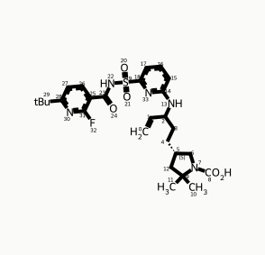 C=CC(CC[C@@H]1CN(C(=O)O)C(C)(C)C1)Nc1cccc(S(=O)(=O)NC(=O)c2ccc(C(C)(C)C)nc2F)n1